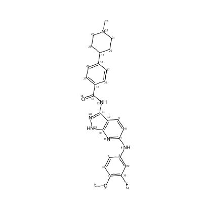 COc1ccc(Nc2ccc3c(NC(=O)c4ccc(C5CCN(C)CC5)cc4)n[nH]c3n2)cc1F